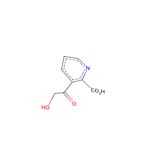 O=C(CO)c1cccnc1C(=O)O